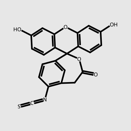 O=C1Cc2cc(ccc2N=C=S)C2(O1)c1ccc(O)cc1Oc1cc(O)ccc12